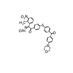 CC(=O)O/N=C(\C(=O)c1ccc(Sc2ccc(C(=O)c3ccc(N4CCOCC4)cc3)cc2)cc1)c1cccc([N+](=O)[O-])c1C